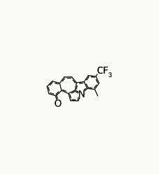 Cc1cc(C(F)(F)F)cc2c3ccc4cccc(=O)c-4c4ccn(c12)c43